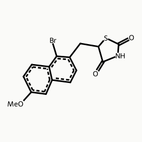 COc1ccc2c(Br)c(CC3SC(=O)NC3=O)ccc2c1